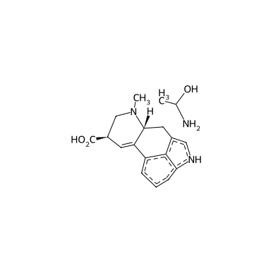 CC(N)O.CN1C[C@H](C(=O)O)C=C2c3cccc4[nH]cc(c34)C[C@H]21